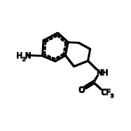 Nc1ccc2c(c1)CC(NC(=O)C(F)(F)F)CC2